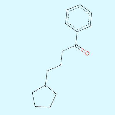 O=C(CCC[C]1CCCC1)c1ccccc1